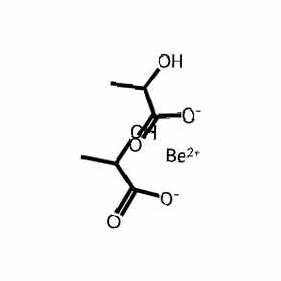 CC(O)C(=O)[O-].CC(O)C(=O)[O-].[Be+2]